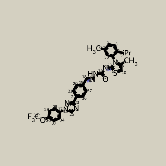 Cc1ccc(C(C)C)c(-n2c(C)cs/c2=N\C(=O)N/N=C/c2ccc(-c3ncn(-c4ccc(OC(F)(F)F)cc4)n3)cc2)c1